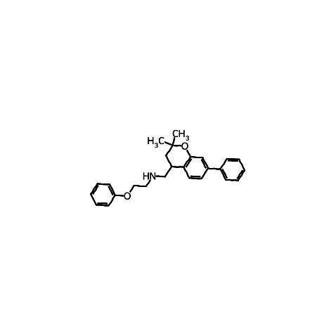 CC1(C)CC(CNCCOc2ccccc2)c2ccc(-c3ccccc3)cc2O1